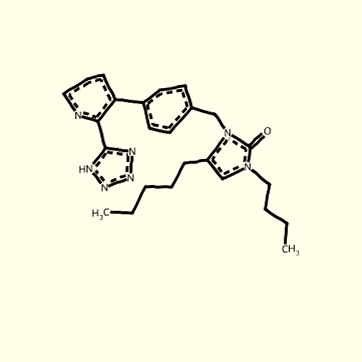 CCCCCc1cn(CCCC)c(=O)n1Cc1ccc(-c2cccnc2-c2nnn[nH]2)cc1